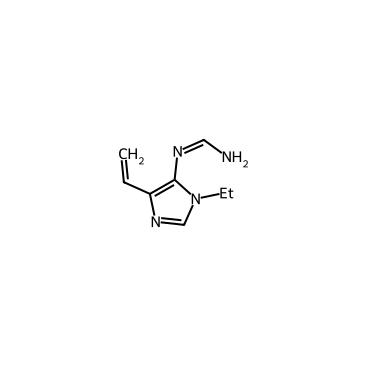 C=Cc1ncn(CC)c1/N=C\N